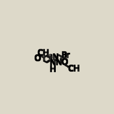 C#CCOc1nc(Nc2ccc(C(C)=O)cc2)ncc1Br